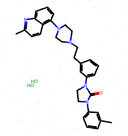 Cc1cccc(N2CCN(c3cccc(CCN4CCN(c5cccc6nc(C)ccc56)CC4)c3)C2=O)c1.Cl.Cl